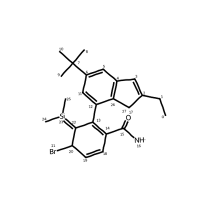 CCC1=Cc2cc(C(C)(C)C)cc(C3=C(C([NH])=O)C=CC(Br)C3=[Si](C)C)c2C1